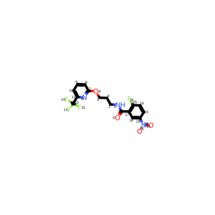 O=C(NCCCOc1cccc(C(F)(F)F)n1)c1cc([N+](=O)[O-])ccc1F